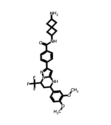 COc1ccc(C2CC(C(F)(F)F)n3nc(-c4ccc(C(=O)NC5CC6(CC(N)C6)C5)cc4)cc3N2)cc1OC